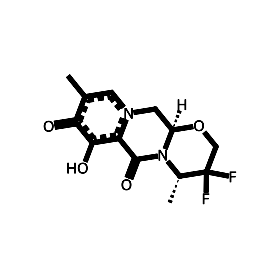 Cc1cn2c(c(O)c1=O)C(=O)N1[C@@H](C)C(F)(F)CO[C@@H]1C2